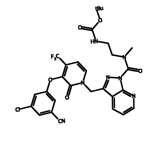 CN(CCNC(=O)OC(C)(C)C)C(=O)n1nc(Cn2ccc(C(F)(F)F)c(Oc3cc(Cl)cc(C#N)c3)c2=O)c2cccnc21